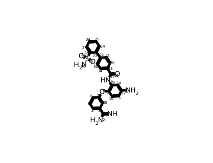 N=C(N)c1cccc(Oc2ccc(N)cc2NC(=O)c2ccc(-c3ccccc3S(N)(=O)=O)cc2)c1